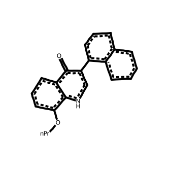 CCCOc1cccc2c(=O)c(-c3cccc4ccccc34)c[nH]c12